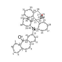 O=c1c2ccccc2ccc2ccc(N3c4ccccc4C4(c5ccccc5Cc5ccccc54)c4ccccc43)cc12